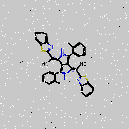 [C-]#[N+]/C(c1nc2ccccc2s1)=c1/[nH]c(-c2ccccc2C)c2/c(=C(\C#N)c3nc4ccccc4s3)[nH]c(-c3ccccc3C)c12